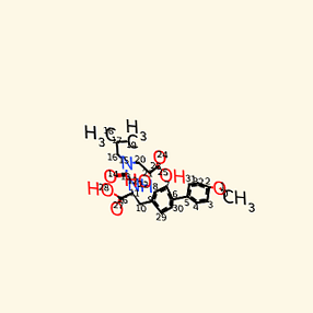 COc1ccc(-c2ccc(C[C@H](NC(=O)N(CC(C)C)CC(O)C(=O)O)C(=O)O)cc2)cc1